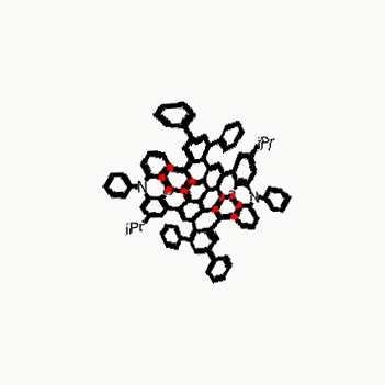 CC(C)c1cc2c3c(c1)N(c1ccccc1)c1ccccc1B3c1cc3c(-c4c(-c5ccccc5)cc(-c5ccccc5)cc4-c4ccccc4)cc4c5c(cc6c(-c7c(-c8ccccc8)cc(-c8ccccc8)cc7-c7ccccc7)cc-2c1c6c35)B1c2ccccc2N(c2ccccc2)c2cc(C(C)C)cc-4c21